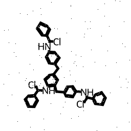 ClC(Nc1ccc(Cc2ccc(NC(Cl)c3ccccc3)c(Cc3ccc(NC(Cl)c4ccccc4)cc3)c2)cc1)c1ccccc1